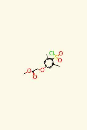 COC(=O)COc1cc(C)c(S(=O)(=O)Cl)c(C)c1